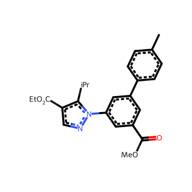 CCOC(=O)c1cnn(-c2cc(C(=O)OC)cc(-c3ccc(C)cc3)c2)c1C(C)C